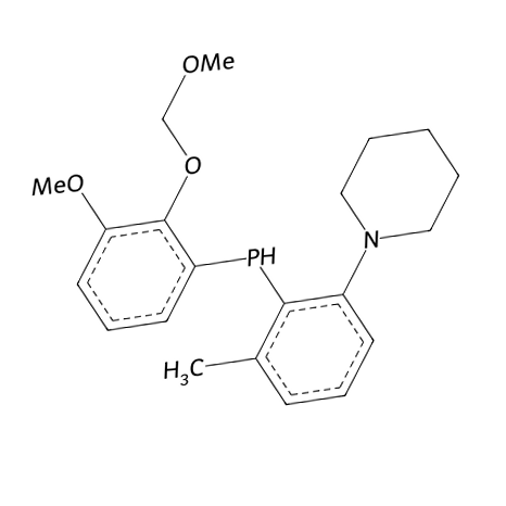 COCOc1c(OC)cccc1Pc1c(C)cccc1N1CCCCC1